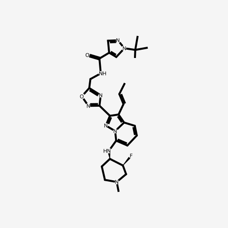 C/C=C/c1c(-c2noc(CNC(=O)c3cnn(C(C)(C)C)c3)n2)nn2c(N[C@@H]3CCN(C)C[C@@H]3F)cccc12